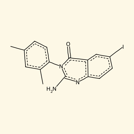 Cc1ccc(-n2c(N)nc3ccc(I)cc3c2=O)c(C)c1